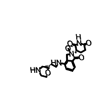 O=C1CCC([N+]2([O-])Cc3c(NCC[C@H]4CNCCO4)cccc3C2=O)C(=O)N1